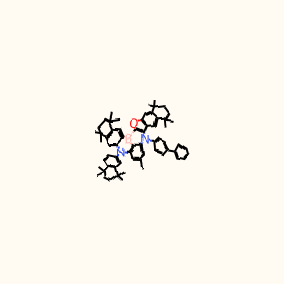 Cc1cc2c3c(c1)N(c1ccc(-c4ccccc4)cc1)c1c(oc4cc5c(cc14)C(C)(C)CCC5(C)C)B3c1cc3c(cc1N2c1ccc2c(c1)C(C)(C)CCC2(C)C)C(C)(C)CCC3(C)C